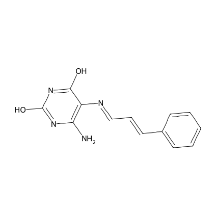 Nc1nc(O)nc(O)c1N=CC=Cc1ccccc1